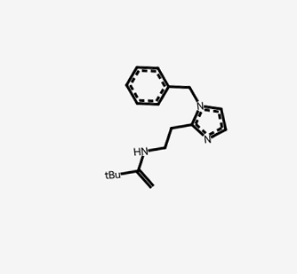 C=C(NCCc1nccn1Cc1ccccc1)C(C)(C)C